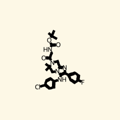 CC(C)(C)OC(=O)NCC(=O)N1Cc2nc(-c3ccc(F)cc3)c(Nc3ccc(Cl)cc3)n2CC1(C)C